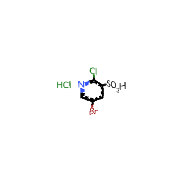 Cl.O=S(=O)(O)c1cc(Br)cnc1Cl